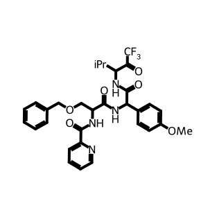 COc1ccc(C(NC(=O)C(COCc2ccccc2)NC(=O)c2ccccn2)C(=O)NC(C(=O)C(F)(F)F)C(C)C)cc1